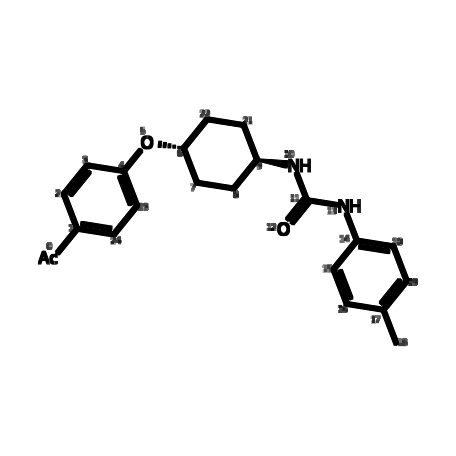 CC(=O)c1ccc(O[C@H]2CC[C@H](NC(=O)Nc3ccc(C)cc3)CC2)cc1